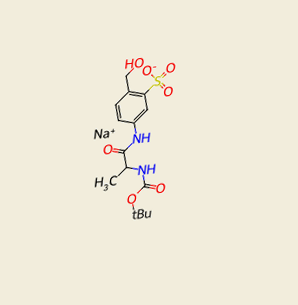 CC(NC(=O)OC(C)(C)C)C(=O)Nc1ccc(CO)c(S(=O)(=O)[O-])c1.[Na+]